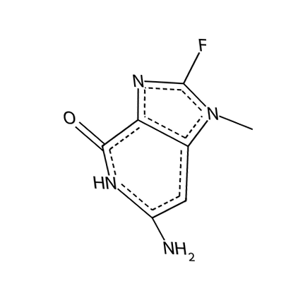 Cn1c(F)nc2c(=O)[nH]c(N)cc21